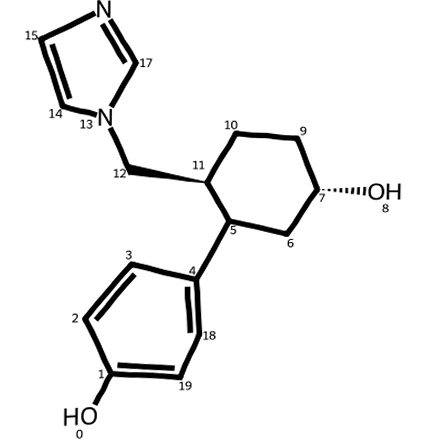 Oc1ccc(C2C[C@@H](O)CC[C@@H]2Cn2ccnc2)cc1